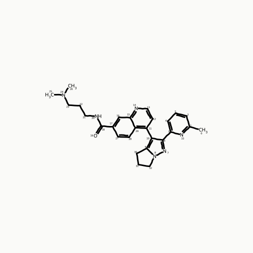 Cc1cccc(-c2nn3c(c2-c2ccnc4cc(C(=O)NCCCN(C)C)ccc24)CCC3)n1